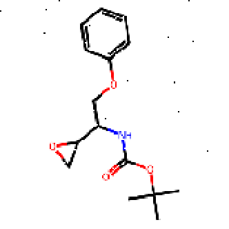 CC(C)(C)OC(=O)NC(COc1ccccc1)C1CO1